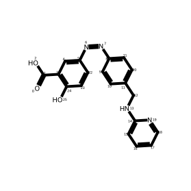 O=C(O)c1cc(/N=N\c2ccc(CNc3ccccn3)cc2)ccc1O